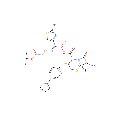 CC(C)(C)OC(=O)CON=C(C(=O)OC(=O)C1=C(Sc2ccc(-c3cccs3)cc2)CS[C@H]2C(N)C(=O)N12)c1csc(N)n1